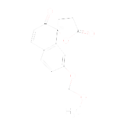 COCOc1ccc2c(c1)[C@@]1(CCC(=O)O1)C(=O)C=C2